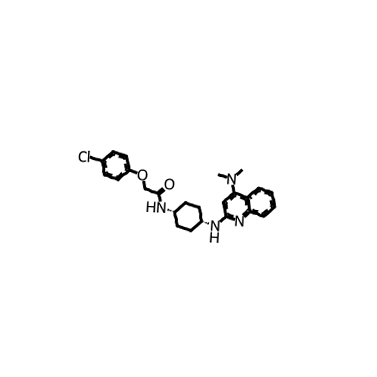 CN(C)c1cc(N[C@H]2CC[C@@H](NC(=O)COc3ccc(Cl)cc3)CC2)nc2ccccc12